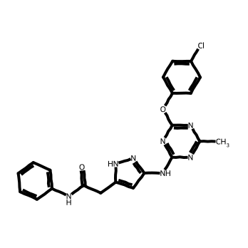 Cc1nc(Nc2cc(CC(=O)Nc3ccccc3)[nH]n2)nc(Oc2ccc(Cl)cc2)n1